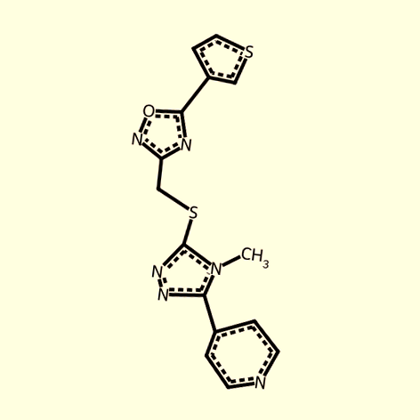 Cn1c(SCc2noc(-c3ccsc3)n2)nnc1-c1ccncc1